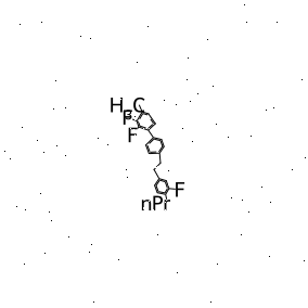 CCCc1ccc(CCc2ccc(-c3ccc(C)c(F)c3F)cc2)cc1F